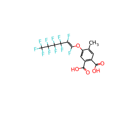 Cc1cc(C(=O)O)c(C(=O)O)cc1OC(F)=C(F)C(F)(F)C(F)(F)C(F)(F)C(F)(F)F